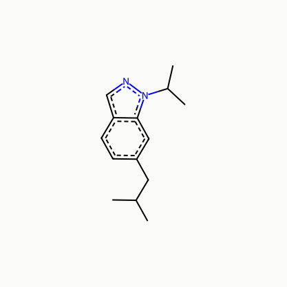 CC(C)Cc1ccc2cnn(C(C)C)c2c1